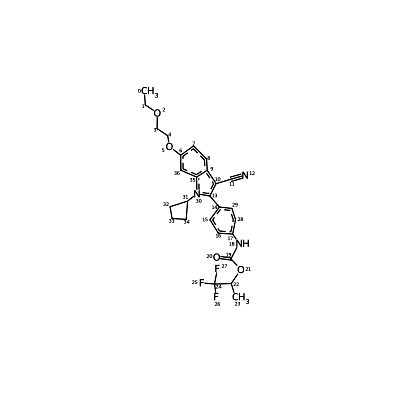 CCOCCOc1ccc2c(C#N)c(-c3ccc(NC(=O)OC(C)C(F)(F)F)cc3)n(C3CCC3)c2c1